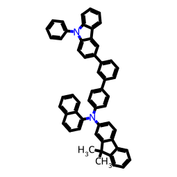 CC1(C)c2ccccc2-c2ccc(N(c3ccc(-c4cccc(-c5ccc6c(c5)c5ccccc5n6-c5ccccc5)c4)cc3)c3cccc4ccccc34)cc21